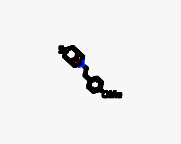 COc1ccc(CCN2CC3C[Se]CC(C2)C3=O)cc1